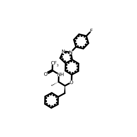 C[C@H](NC(=O)C(F)(F)F)[C@H](Cc1ccccc1)Oc1ccc2c(cnn2-c2ccc(F)cc2)c1